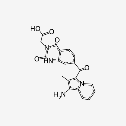 Cc1c(N)c2ccccn2c1C(=O)c1ccc2c(=O)n(CC(=O)O)c(=O)[nH]c2c1